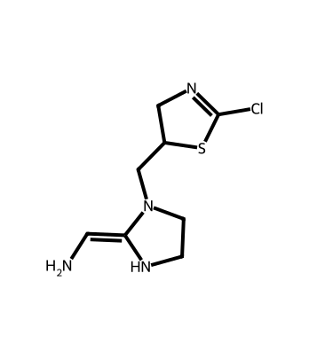 N/C=C1\NCCN1CC1CN=C(Cl)S1